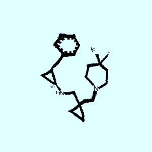 FC1(F)CCN(CC2(CN[C@H]3CC3c3ccccc3)CC2)CC1